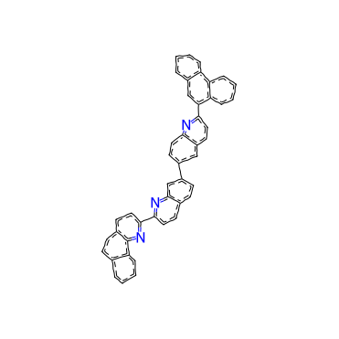 c1ccc2c(c1)cc(-c1ccc3cc(-c4ccc5ccc(-c6ccc7ccc8ccccc8c7n6)nc5c4)ccc3n1)c1ccccc12